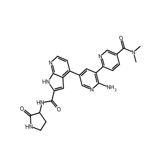 CN(C)C(=O)c1ccc(-c2cc(-c3ccnc4[nH]c(C(=O)NC5CCNC5=O)cc34)cnc2N)nc1